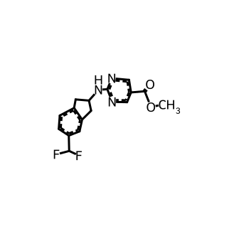 COC(=O)c1cnc(NC2Cc3ccc(C(F)F)cc3C2)nc1